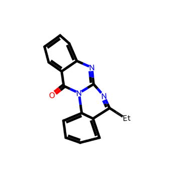 CCc1nc2nc3ccccc3c(=O)n2c2ccccc12